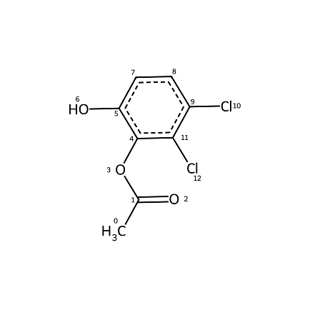 CC(=O)Oc1c(O)ccc(Cl)c1Cl